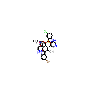 COc1ccncc1C(/C(=C(/C#N)c1c[nH]c2ccc(Br)cc12)c1cnccc1SCCN(C)C)=C(\C#N)c1c[nH]c2ccc(Cl)cc12